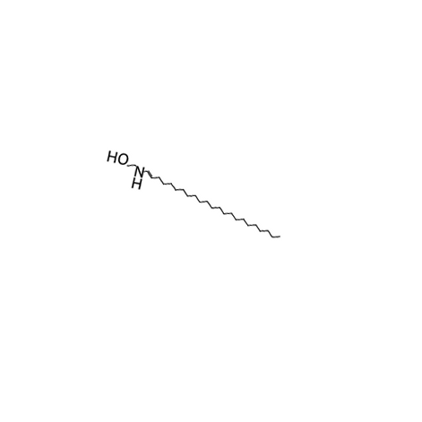 CCCCCCCCCCCCCCCCCCCCCC=CNCCO